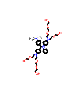 CN(C)c1ccc(C(c2ccc(N(CCOCCO)CCOCCOCCO)cc2)N(c2ccccc2)c2ccc(N(CCOCCO)CCOCCOCCO)cc2)cc1